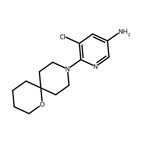 Nc1cnc(N2CCC3(CCCCO3)CC2)c(Cl)c1